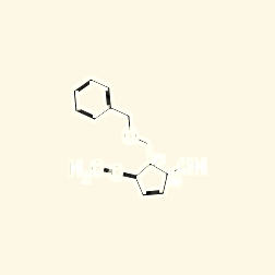 C=C=C1C=C[C@H](O)[C@H]1COCc1ccccc1